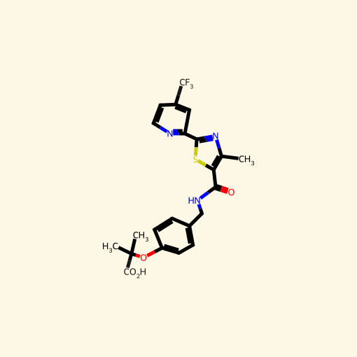 Cc1nc(-c2cc(C(F)(F)F)ccn2)sc1C(=O)NCc1ccc(OC(C)(C)C(=O)O)cc1